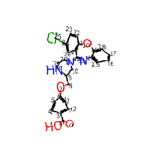 O=C(O)c1ccc(OCC2CN(C3=Nc4ccccc4Oc4ccc(Cl)cc43)CCN2)cc1